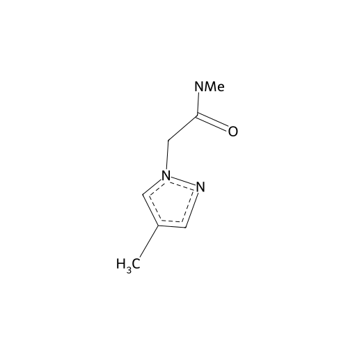 CNC(=O)Cn1cc(C)cn1